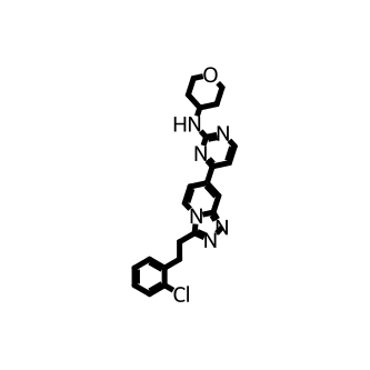 Clc1ccccc1CCc1nnc2cc(-c3ccnc(NC4CCOCC4)n3)ccn12